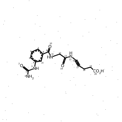 NC(=O)Nc1cccc(C(=O)NCC(=O)NC#CCCC(=O)O)c1